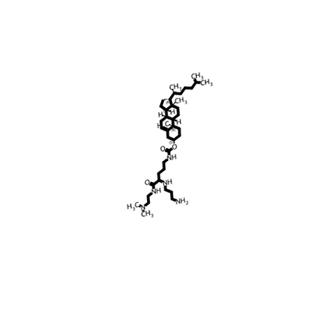 CC(C)CCC[C@@H](C)[C@H]1CC[C@H]2[C@@H]3CC=C4C[C@@H](OC(=O)NCCCC(NCCCN)C(=O)NCCN(C)C)CC[C@]4(C)[C@H]3CC[C@]12C